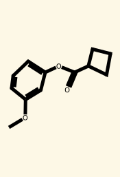 COc1cccc(OC(=O)C2CCC2)c1